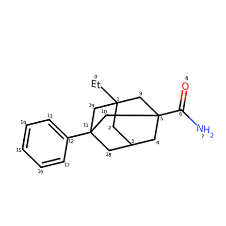 CCC12CC3CC(C(N)=O)(C1)CC(c1ccccc1)(C3)C2